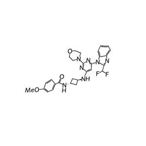 COc1ccc(C(=O)N[C@H]2C[C@H](Nc3cc(-n4c(C(F)F)nc5ccccc54)nc(N4CCOCC4)n3)C2)cc1